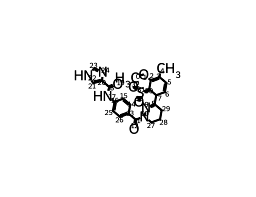 COC1=C(C)C=CC(C2=NN(C(=O)c3ccc(NC(=O)c4c[nH]cn4)cc3)CCC2)C1=S(=O)=O